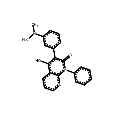 CN(C)c1cccc(-c2c(O)c3cccnc3n(-c3ccccc3)c2=O)c1